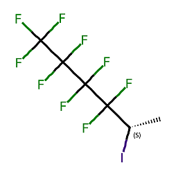 C[C@H](I)C(F)(F)C(F)(F)C(F)(F)C(F)(F)F